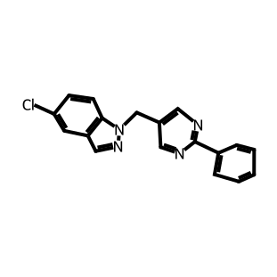 Clc1ccc2c(cnn2Cc2cnc(-c3ccccc3)nc2)c1